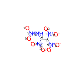 O=[N+]([O-])NC(C([N+](=O)[O-])[N+](=O)[O-])[N+](=O)[O-]